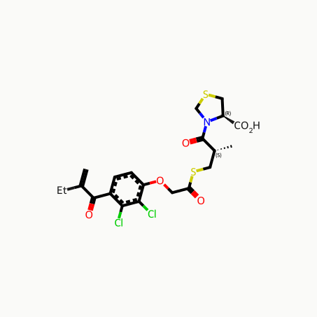 C=C(CC)C(=O)c1ccc(OCC(=O)SC[C@@H](C)C(=O)N2CSC[C@H]2C(=O)O)c(Cl)c1Cl